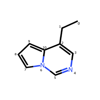 CCc1cncn2cccc12